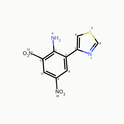 Nc1c(-c2cscn2)cc([N+](=O)[O-])cc1[N+](=O)[O-]